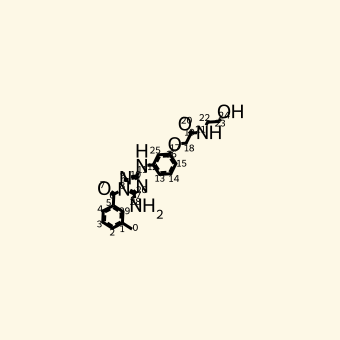 Cc1cccc(C(=O)n2nc(Nc3cccc(OCC(=O)NCCO)c3)nc2N)c1